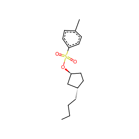 CCCC[C@H]1CC[C@H](OS(=O)(=O)c2ccc(C)cc2)C1